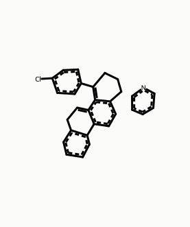 Clc1ccc(C2=c3c(ccc4c3=CCc3ccccc3-4)CCC2)cc1.c1ccncc1